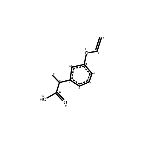 C=COc1cccc(C(C)C(=O)O)c1